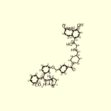 O=C(c1ccc(COc2cccc([C@H](c3ccccc3)N(C(=O)O)[C@H]3CN4CCC3CC4)c2)cc1)N1CCC(CNC[C@H](O)c2ccc(O)c3[nH]c(=O)ccc23)CC1